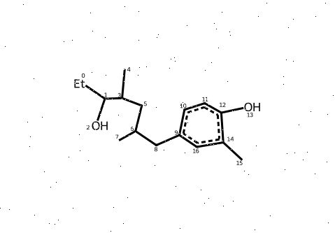 CCC(O)C(C)CC(C)Cc1ccc(O)c(C)c1